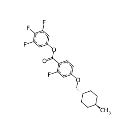 C[C@H]1CC[C@H](COc2ccc(C(=O)Oc3cc(F)c(F)c(F)c3)c(F)c2)CC1